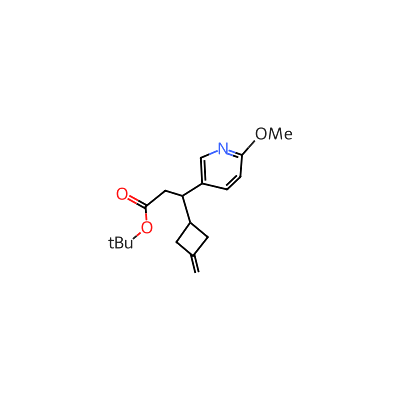 C=C1CC(C(CC(=O)OC(C)(C)C)c2ccc(OC)nc2)C1